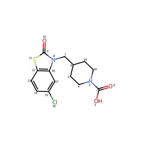 O=C(O)N1CCC(Cn2c(=O)sc3ccc(Cl)cc32)CC1